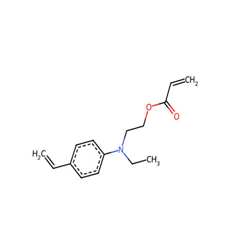 C=CC(=O)OCCN(CC)c1ccc(C=C)cc1